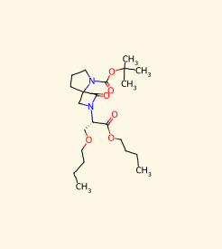 CCCCOC[C@@H](C(=O)OCCCC)N1CC2(CCCN2C(=O)OC(C)(C)C)C1=O